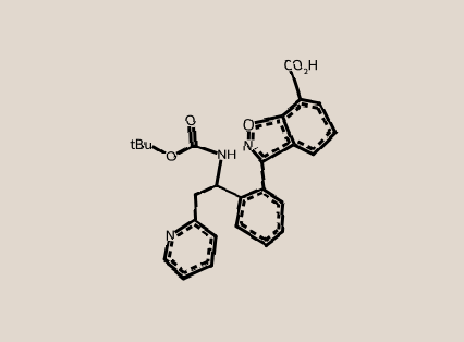 CC(C)(C)OC(=O)NC(Cc1ccccn1)c1ccccc1-c1noc2c(C(=O)O)cccc12